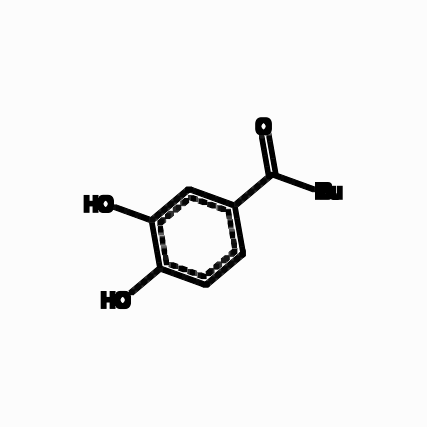 CCC(C)C(=O)c1ccc(O)c(O)c1